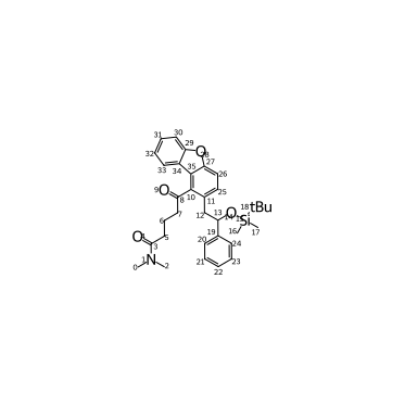 CN(C)C(=O)CCCC(=O)c1c(CC(O[Si](C)(C)C(C)(C)C)c2ccccc2)ccc2oc3ccccc3c12